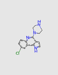 Clc1ccc2nc(N3CCNCC3)c3cc[nH]c3c2c1